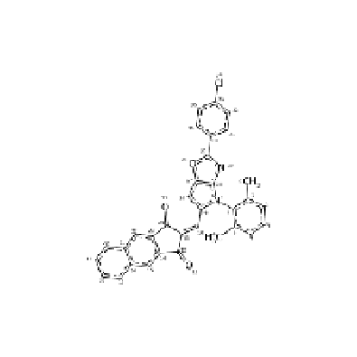 Cc1cccc(C)c1-n1c(C=C2C(=O)c3cc4ccccc4cc3C2=O)cc2oc(-c3ccc(Cl)cc3)nc21